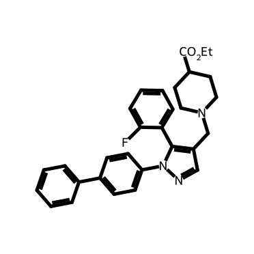 CCOC(=O)C1CCN(Cc2cnn(-c3ccc(-c4ccccc4)cc3)c2-c2ccccc2F)CC1